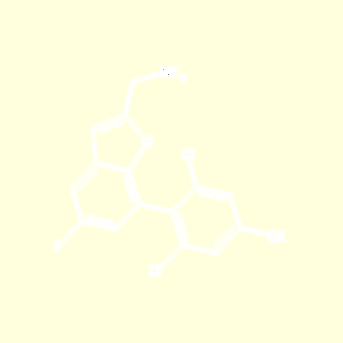 NCc1cc2cc(F)cc(-c3c(Cl)cc(O)cc3Cl)c2o1